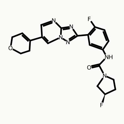 O=C(Nc1ccc(F)c(-c2nc3ncc(C4=CCOCC4)cn3n2)c1)N1CC[C@@H](F)C1